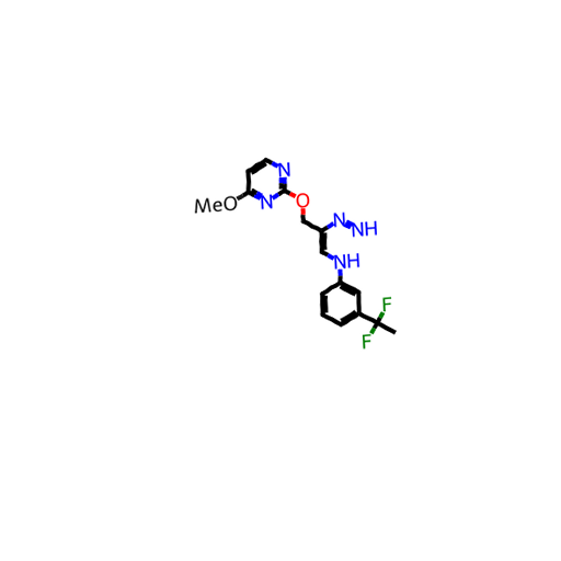 COc1ccnc(OC/C(=C/Nc2cccc(C(C)(F)F)c2)N=N)n1